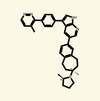 Cc1ccnnc1-c1ccc(-c2c[nH]c3ncc(-c4ccc5c(c4)CC[C@@](C)(N4CCC[C@H]4C)CC5)cc23)cc1